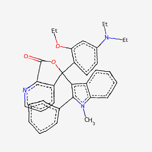 CCOc1cc(N(CC)CC)ccc1C1(c2c(-c3ccccc3)n(C)c3ccccc23)OC(=O)c2ncccc21